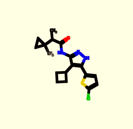 CC(C(=O)Nc1n[nH]c(-c2ccc(Cl)s2)c1C1CCC1)C1(C(F)(F)F)CC1